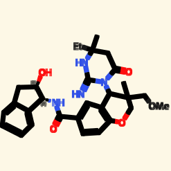 CCC1(C)CC(=O)N(C2c3cc(C(=O)N[C@@H]4c5ccccc5C[C@H]4O)ccc3OCC2(C)COC)C(=N)N1